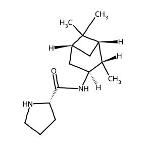 C[C@@H]1[C@@H](NC(=O)[C@@H]2CCCN2)C[C@H]2C[C@@H]1C2(C)C